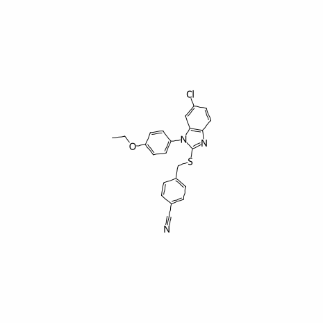 CCOc1ccc(-n2c(SCc3ccc(C#N)cc3)nc3ccc(Cl)cc32)cc1